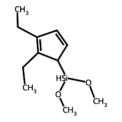 CCC1=C(CC)C([SiH](OC)OC)C=C1